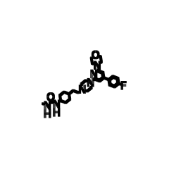 CNC(=O)NC1CCC(CCN2CCN(c3cc(-c4ccc(F)cc4)cc(N4CCOCC4)n3)CC2)CC1